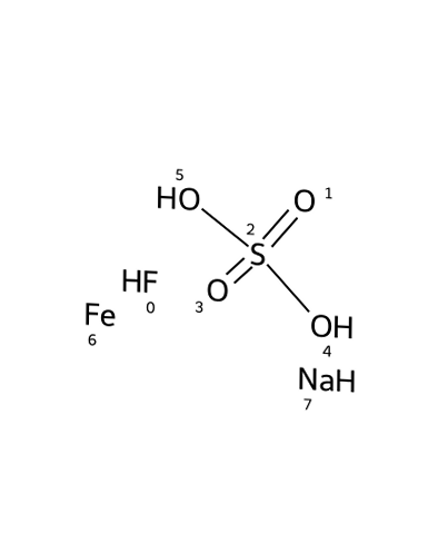 F.O=S(=O)(O)O.[Fe].[NaH]